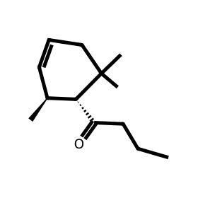 CCCC(=O)[C@@H]1[C@@H](C)C=CCC1(C)C